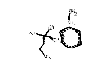 CCC(C)(C)O.CN.c1ccccc1